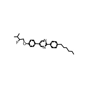 CCCCCCc1ccc(-c2ncc(-c3ccc(OCC(F)C(C)C)cc3)cn2)cc1